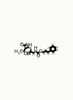 C[C@@H](O)[C@H]1C(=O)N[C@@H]1SC(=O)CNC(=O)OCC=Cc1ccccc1